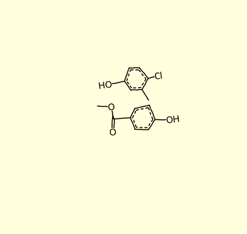 COC(=O)c1ccc(O)cc1.Cc1cc(O)ccc1Cl